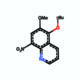 CCCCOc1c(OC)cc([N+](=O)[O-])c2ncccc12